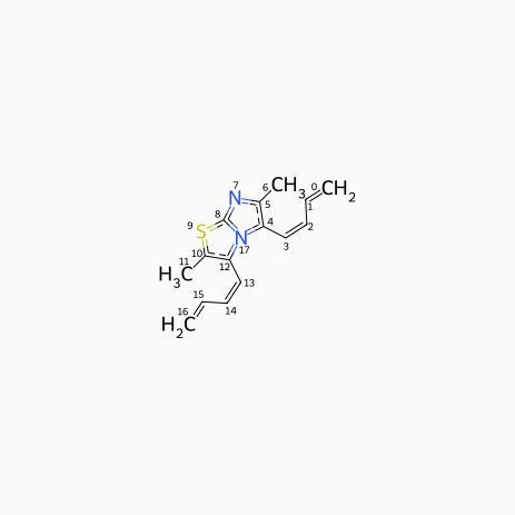 C=C/C=C\c1c(C)nc2sc(C)c(/C=C\C=C)n12